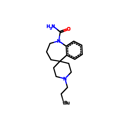 CC(C)(C)CCN1CCC2(CCCN(C(N)=O)c3ccccc32)CC1